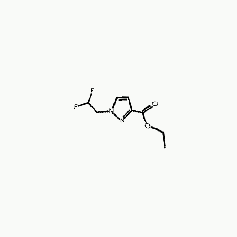 CCOC(=O)c1ccn(CC(F)F)n1